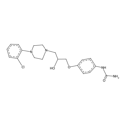 NC(=O)Nc1ccc(OCC(O)CN2CCN(c3ccccc3Cl)CC2)cc1